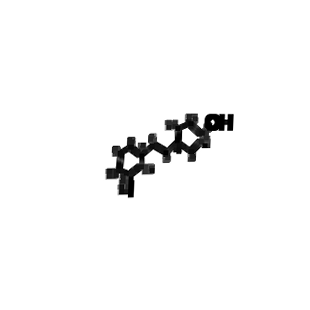 Oc1ccc(C=Cc2cccc(I)c2)cc1